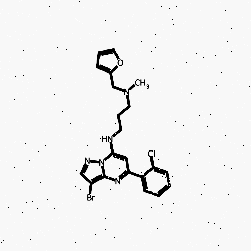 CN(CCCNc1cc(-c2ccccc2Cl)nc2c(Br)cnn12)Cc1ccco1